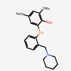 COc1cc(OC)c(O)c(Pc2ccccc2CN2CCCCC2)c1